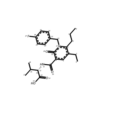 CCCc1c(CC)cc(C(=O)N[C@H](C(=O)O)C(C)C)c(=O)n1Cc1ccc(F)cc1